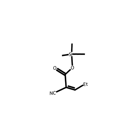 CCC=C(C#N)C(=O)O[Si](C)(C)C